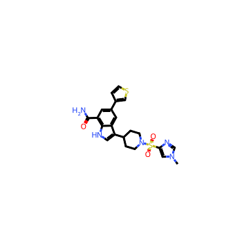 Cn1cnc(S(=O)(=O)N2CCC(c3c[nH]c4c(C(N)=O)cc(-c5ccsc5)cc34)CC2)c1